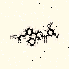 COc1cc(Nc2ncc(-c3cccc(C=CC(=O)O)c3)c(N3CCOCC3)n2)cc(OC)c1